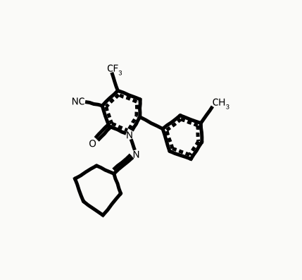 Cc1cccc(-c2cc(C(F)(F)F)c(C#N)c(=O)n2N=C2CCCCC2)c1